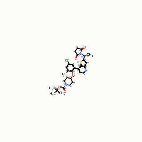 Cc1cc(Cl)cc(-c2ccnc3cc([C@H](C)N4C(=O)CCC4=O)sc23)c1OC1CCN(C(=O)OC(C)(C)C)CC1